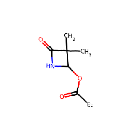 CCC(=O)OC1NC(=O)C1(C)C